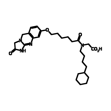 O=C(O)CN(CCCCC1CCCCC1)C(=O)CCCCCOc1ccc2c(c1)N=C1NC(=O)CN1C2